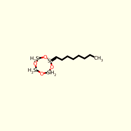 CCCCCCCC=[Si]1O[SiH2]O[SiH2]O[SiH2]O1